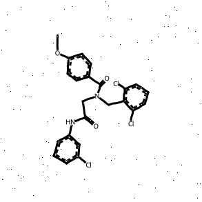 COc1ccc(C(=O)N(CC(=O)Nc2cccc(Cl)c2)Cc2c(Cl)cccc2Cl)cc1